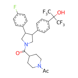 CC(=O)N1CCC(C(=O)N2CC(c3ccc(F)cc3)C(c3ccc(C(O)(C(F)(F)F)C(F)(F)F)cc3)C2)CC1